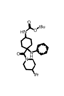 CC(C)C1CCN(C(=O)C2(Nc3ccccc3)CCC(NC(=O)OC(C)(C)C)CC2)CC1